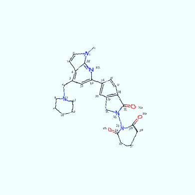 Cn1ccc2c(CN3CCCCC3)cc(-c3ccc4c(c3)CN(N3C(=O)CCCC3=O)C4=O)nc21